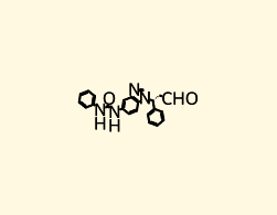 O=CC[C@H](c1ccccc1)n1cnc2cc(NC(=O)Nc3ccccc3)ccc21